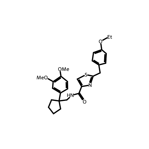 CCOc1ccc(Cc2nc(C(=O)NCC3(c4ccc(OC)c(OC)c4)CCCC3)cs2)cc1